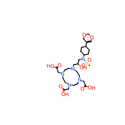 CS(=O)(=O)N(CC(O)CN1CCN(CC(=O)O)CCN(CC(=O)O)CCN(CC(=O)O)CC1)C1CCC(C2=COCOC2)CC1